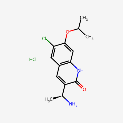 CC(C)Oc1cc2[nH]c(=O)c([C@H](C)N)cc2cc1Cl.Cl